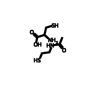 CC(=O)NCCS.NC(CS)C(=O)O